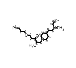 CC(C)CCCOCCC(=O)C(C)CN1CCC(CCN(C)CC(C)C)CC1